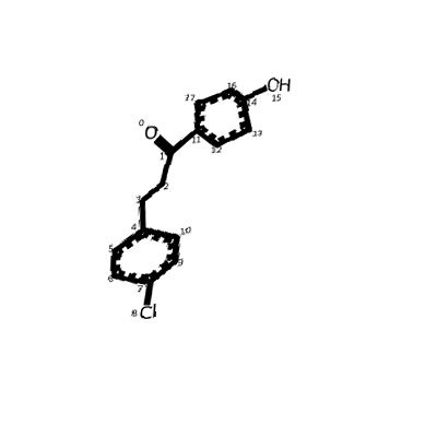 O=C(CCc1ccc(Cl)cc1)c1ccc(O)cc1